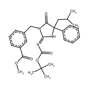 COC(=O)c1cccc(CN2C(=O)C(CC(C)C)(c3ccccc3)NC2=NC(=O)OC(C)(C)C)c1